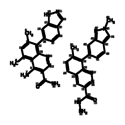 Cc1cc(C)c2c(N)c(C(N)=O)nnc2c1-c1ccc2cn[nH]c2c1.Cc1ccc2cc(C(=O)NN)nnc2c1-c1ccc2cn(C)nc2c1